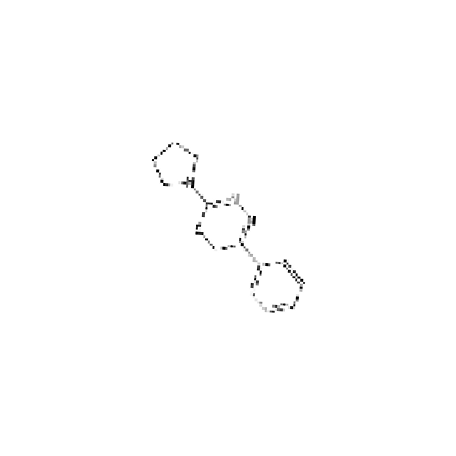 c1ccc(C2=NN=C(N3CCCC3)SC2)cc1